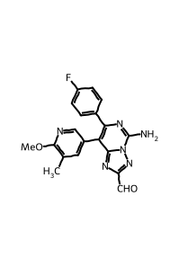 COc1ncc(-c2c(-c3ccc(F)cc3)nc(N)n3nc(C=O)nc23)cc1C